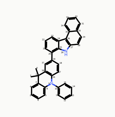 CC1(C)c2ccccc2N(c2ccccc2)c2ccc(-c3cccc4c3[nH]c3ccc5ccccc5c34)cc21